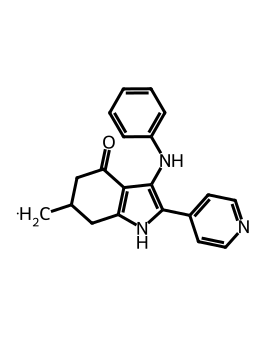 [CH2]C1CC(=O)c2c([nH]c(-c3ccncc3)c2Nc2ccccc2)C1